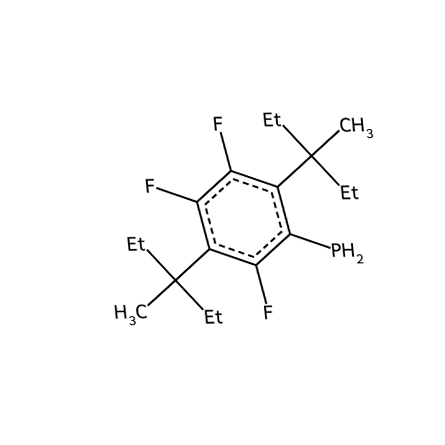 CCC(C)(CC)c1c(F)c(F)c(C(C)(CC)CC)c(P)c1F